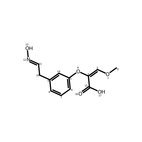 COC=C(Oc1cccc(CC=NO)c1)C(=O)O